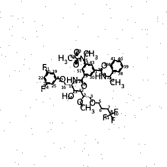 CO[C@@H](COCCCC(F)(F)F)C[C@H](O)[C@H](COc1cc(F)cc(F)c1)NC(=O)c1cc(C(=O)N[C@H](C)c2ccccc2)cc(N(C)S(C)(=O)=O)c1